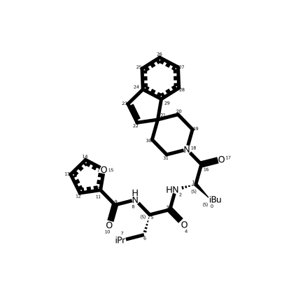 CC[C@H](C)[C@H](NC(=O)[C@H](CC(C)C)NC(=O)c1ccco1)C(=O)N1CCC2(C=Cc3ccccc32)CC1